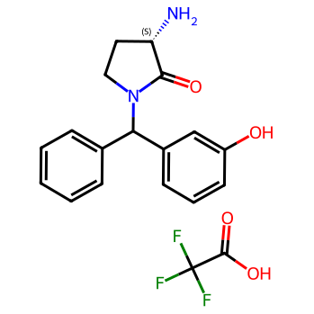 N[C@H]1CCN(C(c2ccccc2)c2cccc(O)c2)C1=O.O=C(O)C(F)(F)F